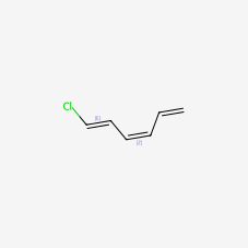 C=C/C=C\C=C\Cl